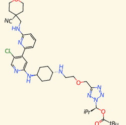 CC(C)[C@H](OC(=O)C(C)(C)C)n1nnc(COCCN[C@H]2CC[C@H](Nc3cc(-c4cccc(NCC5(C#N)CCOCC5)n4)c(Cl)cn3)CC2)n1